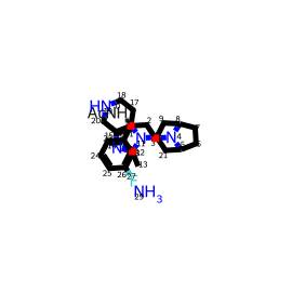 CC(=O)N[C@@H](CCN1C2CCC1CC(n1c(C)nc3c1CCNC3)C2)c1cccc(F)c1.N